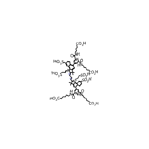 CC1(C)C(/C=C/C=C2/N(CCCS(=O)(=O)O)c3c(cc(-c4cc(C(=O)NCCCCCC(=O)O)nc(C(=O)NCCCCCC(=O)O)c4)c4ccc(S(=O)(=O)O)cc34)C2(C)C)=[N+](CCCS(=O)(=O)O)c2c1cc(-c1cc(C(=O)NCCCCCC(=O)O)nc(C(=O)NCCCCCC(=O)O)c1)c1ccc(S(=O)(=O)O)cc21